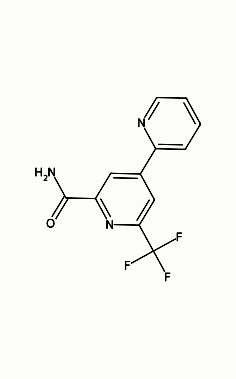 NC(=O)c1cc(-c2ccccn2)cc(C(F)(F)F)n1